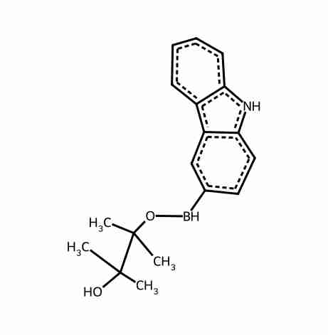 CC(C)(O)C(C)(C)OBc1ccc2[nH]c3ccccc3c2c1